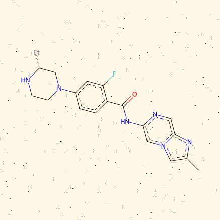 CC[C@@H]1CN(c2ccc(C(=O)Nc3cn4cc(C)nc4cn3)c(F)c2)CCN1